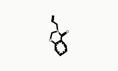 C=CCN1COc2ccccc2C1=O